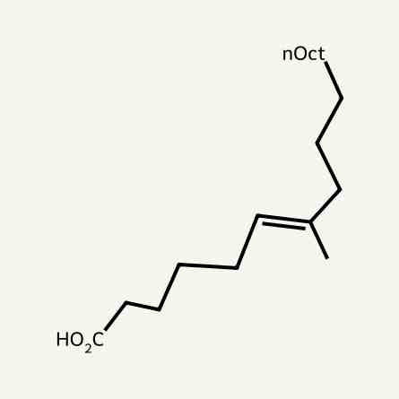 CCCCCCCCCCCC(C)=CCCCCC(=O)O